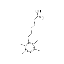 Cc1cc(C)c(C)c(CCCCCC(=O)O)c1C